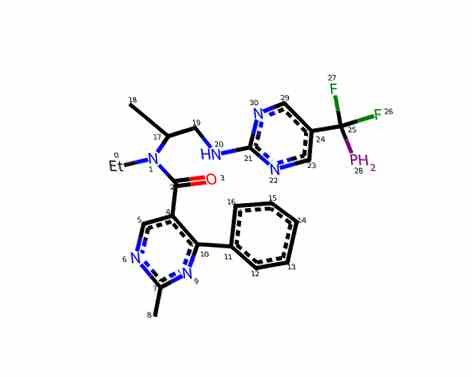 CCN(C(=O)c1cnc(C)nc1-c1ccccc1)C(C)CNc1ncc(C(F)(F)P)cn1